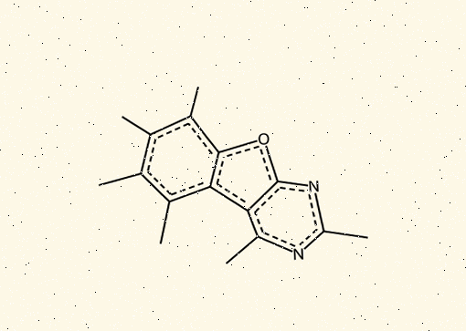 Cc1nc(C)c2c(n1)oc1c(C)c(C)c(C)c(C)c12